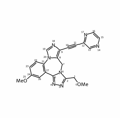 COCc1nnc2n1Cc1c(C#Cc3cnccn3)ncn1-c1ccc(OC)cc1-2